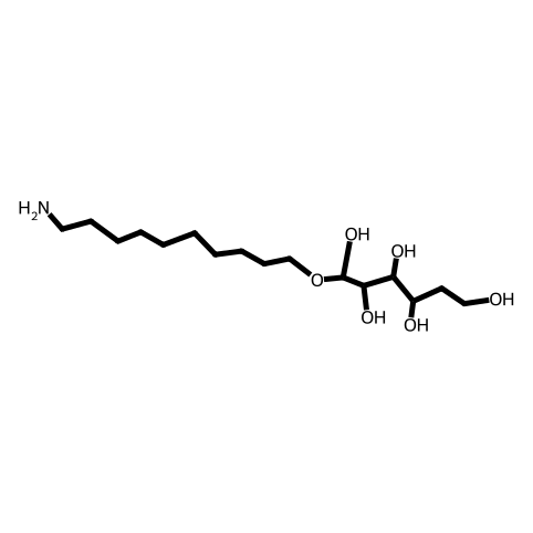 NCCCCCCCCCCOC(O)C(O)C(O)C(O)CCO